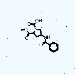 COC(=O)C1CC(NC(=O)c2ccccc2)CN1C(=O)O